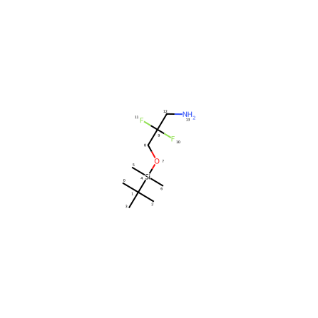 CC(C)(C)[Si](C)(C)OCC(F)(F)CN